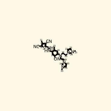 COc1cc(NNc2sc(C#N)c(C)c2C#N)c(C)cc1N(CCn1cc[n+](C)c1)CCn1cc[n+](C)c1